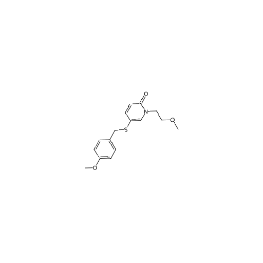 COCCn1cc(SCc2ccc(OC)cc2)ccc1=O